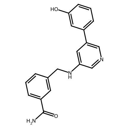 NC(=O)c1cccc(CNc2cncc(-c3cccc(O)c3)c2)c1